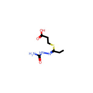 CCC(=NNC(N)=O)SCCC(=O)O